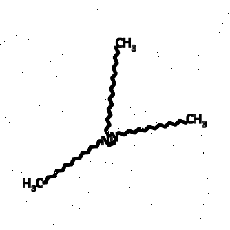 CCCCCCCCCCCCCCCCCCC1N(CCCCCCCCCCCCCCC)C=CN1CCCCCCCCCCCCCCC